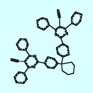 N#Cc1c(-c2ccccc2)nc(-c2ccc(C3(c4ccc(-c5nc(-c6ccccc6)c(C#N)c(-c6ccccc6)n5)cc4)CCCCC3)cc2)nc1-c1ccccc1